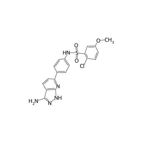 COc1ccc(Cl)c(S(=O)(=O)Nc2ccc(-c3ccc4c(N)n[nH]c4n3)cc2)c1